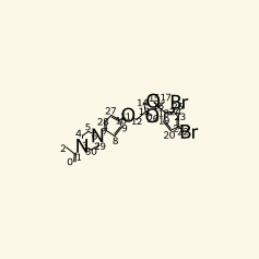 C=C(C)N1CCN(c2ccc(OCC3COC(C)(c4ccc(Br)cc4Br)O3)cc2)CC1